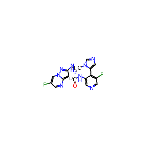 Cn1cncc1-c1c(F)cncc1N[13C](=O)c1c(N)nn2cc(F)cnc12